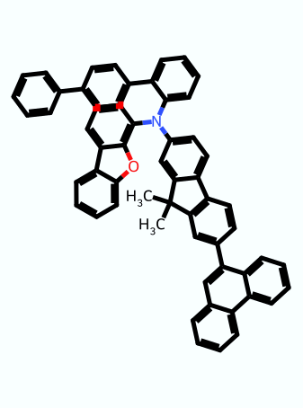 CC1(C)c2cc(-c3cc4ccccc4c4ccccc34)ccc2-c2ccc(N(c3ccccc3-c3ccc(-c4ccccc4)cc3)c3cccc4c3oc3ccccc34)cc21